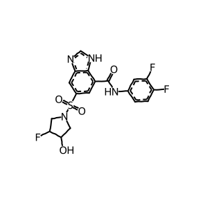 O=C(Nc1ccc(F)c(F)c1)c1cc(S(=O)(=O)N2CC(O)C(F)C2)cc2nc[nH]c12